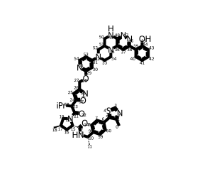 Cc1ncsc1-c1ccc([C@H](C)NC(=O)[C@@H]2C[C@@H](C)CN2C(=O)C(c2cc(COc3cc(N4CCN5c6cc(-c7ccccc7O)nnc6NCC5C4)ccn3)no2)C(C)C)cc1